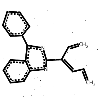 C=C/C=C(\C=C)c1nc(-c2ccccc2)c2ccccc2n1